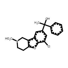 CC(O)(c1ccccc1)c1cc(Cl)c2oc3c(c2c1)CN(C(=O)O)CC3